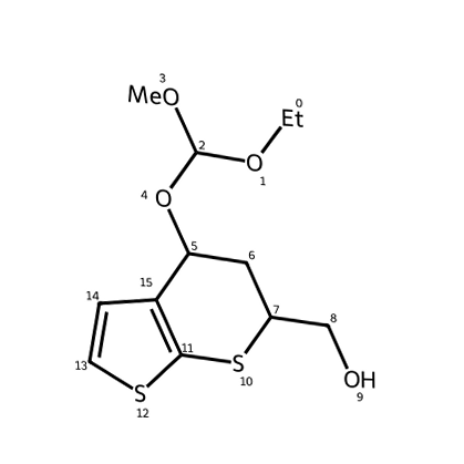 CCOC(OC)OC1CC(CO)Sc2sccc21